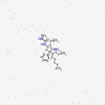 CCCCCC(CCC)C(CN)(CC(CCC)NC(=O)NC)c1ccccc1